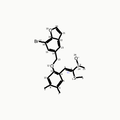 CS/C(=C\c1cc(C)c(C)cc1OCc1cc(Br)c2occc2c1)[S+](C)[O-]